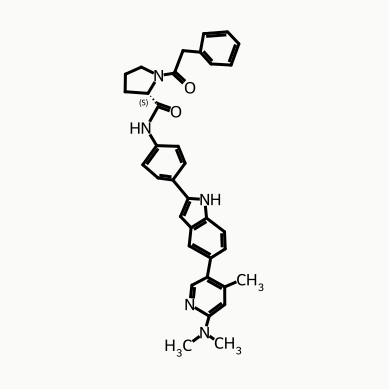 Cc1cc(N(C)C)ncc1-c1ccc2[nH]c(-c3ccc(NC(=O)[C@@H]4CCCN4C(=O)Cc4ccccc4)cc3)cc2c1